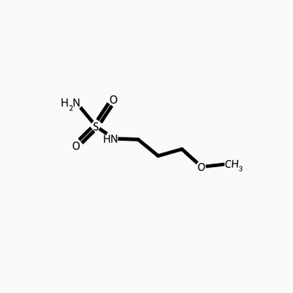 COCCCNS(N)(=O)=O